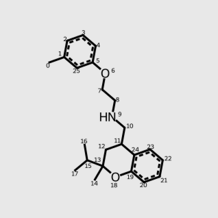 Cc1cccc(OCCNCC2CC(C)(C(C)C)Oc3ccccc32)c1